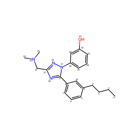 CCCCc1cccc(-c2nc(CN(C)C)nn2-c2cccc(O)c2)c1